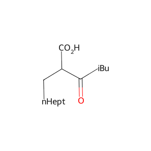 CCCCCCCCC(C(=O)O)C(=O)C(C)CC